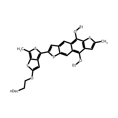 CCCCCCCCCCCCOc1cc2c(-c3cc4cc5c(OCC)c6sc(C)cc6c(OCC)c5cc4s3)sc(C)c2s1